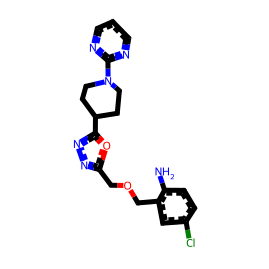 Nc1ccc(Cl)cc1COCc1nnc(C2CCN(c3ncccn3)CC2)o1